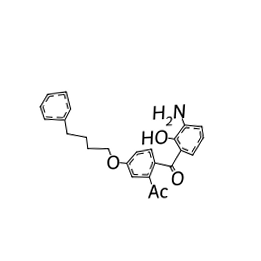 CC(=O)c1cc(OCCCCc2ccccc2)ccc1C(=O)c1cccc(N)c1O